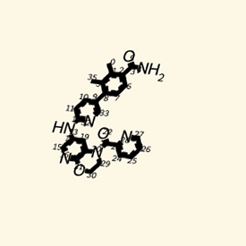 Cc1c(C(N)=O)ccc(-c2ccc(Nc3cnc4c(c3)N(C(=O)c3ccccn3)CCO4)nc2)c1C